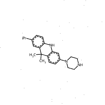 CC(C)c1ccc2c(c1)C(C)(C)c1ccc(N3CCNCC3)cc1N2